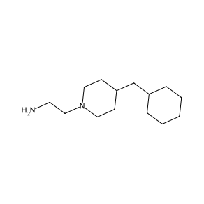 NCCN1CCC(CC2CCCCC2)CC1